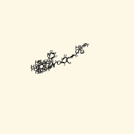 Cc1cc(OCc2nnc(SC3(S)C(S)(S)C(S)(S)C(S)(S)C3(S)S)n2-c2cccnc2)ccc1C#CCOC(=O)NC(C)C